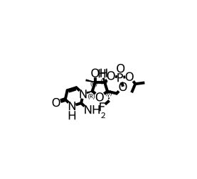 CC(C)OP1(=O)OC[C@@]2(CF)O[C@@H](N3C=CC(=O)NC3N)[C@](C)(O)[C@@H]2O1